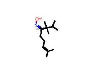 CC(C)=CCC/C(=N/O)C(C)(C)C(C)C